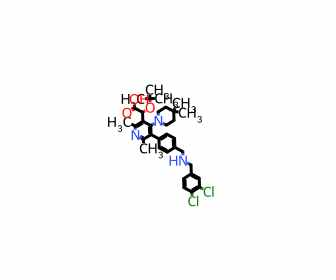 Cc1nc(C)c(C(OC(C)(C)C)C(=O)O)c(N2CCC(C)(C)CC2)c1-c1ccc(CNCc2ccc(Cl)c(Cl)c2)cc1